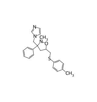 Cc1ccc(SCC2CC(Cn3ccnc3)(c3ccccc3)N(C)O2)cc1